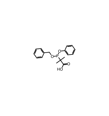 CC(C)(C(=O)O)P(OCc1ccccc1)Oc1ccccc1